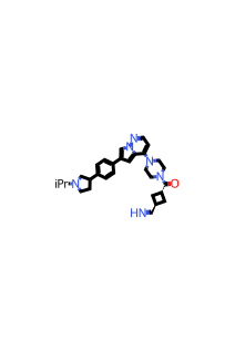 CC(C)N1CCC(c2ccc(-c3cc4c(N5CCN(C(=O)[C@H]6C[C@H](C=N)C6)CC5)ccnn4c3)cc2)C1